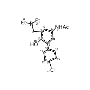 CCN(CC)Cc1cc(NC(C)=O)cc(-c2ccc(Cl)cc2)c1O